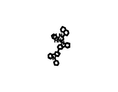 NC(CC(NC[C@@H]1CC=CCC1)N1C2=C(C=C(C3=CC=C4C(C3)C3=C(C=CCC3)N4C3CCCCC3)CC2)C2C=CC=CC21)C1CCCC2CCCCC21